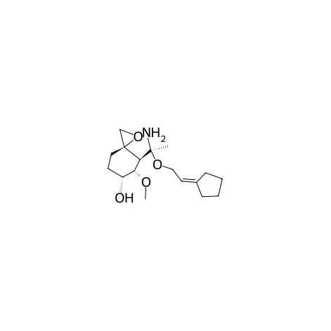 CO[C@@H]1[C@H](O)CC[C@]2(CO2)[C@H]1[C@@](C)(N)OCC=C1CCCC1